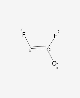 [O]/C(F)=C/F